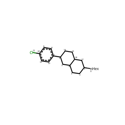 CCCCCCC1CCC2CC(c3ccc(Cl)cc3)CCC2C1